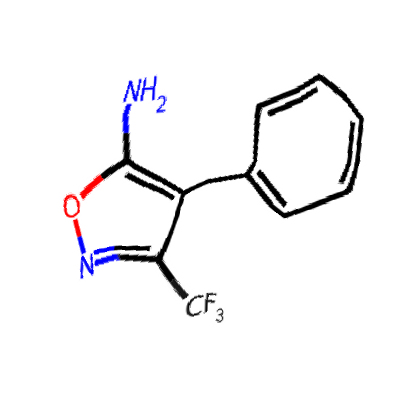 Nc1onc(C(F)(F)F)c1-c1ccccc1